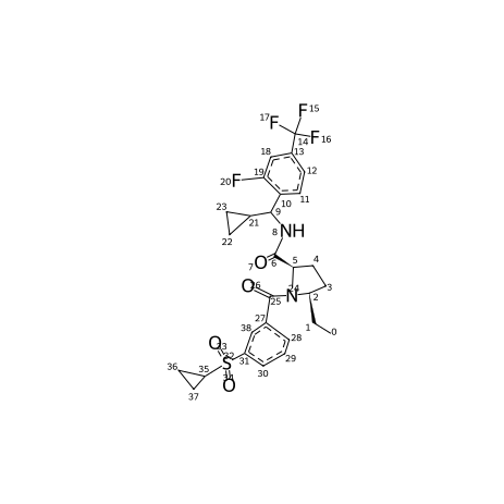 CC[C@@H]1CC[C@H](C(=O)NC(c2ccc(C(F)(F)F)cc2F)C2CC2)N1C(=O)c1cccc(S(=O)(=O)C2CC2)c1